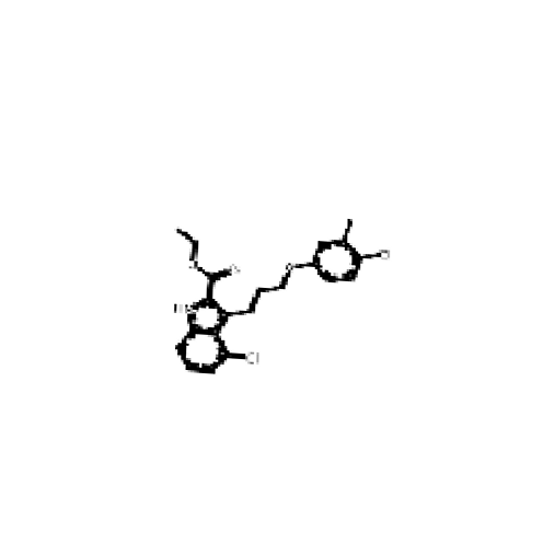 CCOC(=O)c1[nH]c2cccc(Cl)c2c1CCCOc1ccc(Cl)c(C)c1